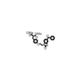 COC(=O)C(Cc1ccc(OCCn2c(=O)sc3cc(C(=O)c4ccccc4)ccc32)cc1)C(=O)OC